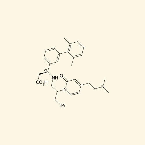 Cc1cccc(C)c1-c1cccc([C@H](CC(=O)O)NCC(CC(C)C)n2ccc(CCN(C)C)cc2=O)c1